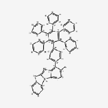 Cc1ccc2c(nc3sc4ccccc4n32)c1-c1ccc(-c2c(-c3ccccc3)c(-c3ccccc3)c(-c3ccccc3)c(-c3ccccc3)c2-c2ccccc2)cc1